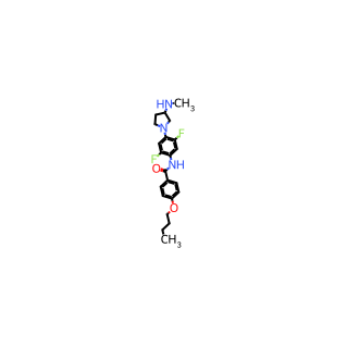 CCCCOc1ccc(C(=O)Nc2cc(F)c(N3CCC(NC)C3)cc2F)cc1